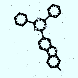 Clc1ccc2c(c1)oc1cc(-c3nc(-c4ccccc4)nc(-c4ccccc4)n3)ccc12